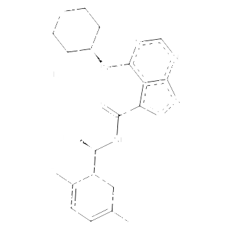 C[C@@H](NC(=O)c1n[nH]c2ncnc(N[C@@H]3CCOC[C@H]3O)c12)C1CC(F)=CC=C1F